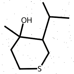 CC(C)C1CSCCC1(C)O